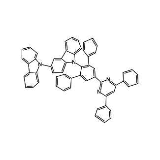 c1ccc(-c2cc(-c3ccccc3)nc(-c3cc(-c4ccccc4)c(-n4c5ccccc5c5cc(-n6c7ccccc7c7ccccc76)ccc54)c(-c4ccccc4)c3)n2)cc1